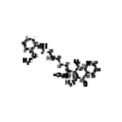 COc1ccccc1NCCNCCCN(NO)C1=C(N)C(=O)c2cccnc2C1=O